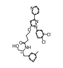 Cc1cccc(C[C@@H](CO)NC(=O)CCCOc2cc(-c3cccnc3)nn2-c2ccc(Cl)c(Cl)c2)c1